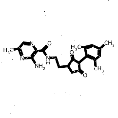 Cc1cc(C)c(C2C(=O)CC(CCNC(=O)c3ncc(C)nc3N)C2=O)c(C)c1